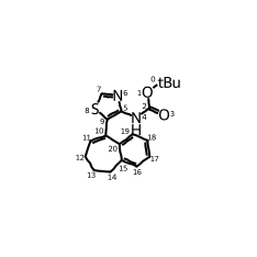 CC(C)(C)OC(=O)Nc1ncsc1C1=CCCCc2ccccc21